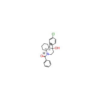 O=C(c1ccccc1)N1CCC(O)(c2ccc(Cl)cc2)[C@H]2CCCC[C@@H]21